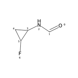 O=CNC1CC1F